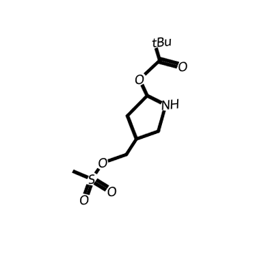 CC(C)(C)C(=O)OC1CC(COS(C)(=O)=O)CN1